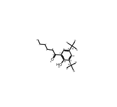 CCCCCC(=O)c1cc(C(C)(C)C)cc(C(C)(C)C)c1O